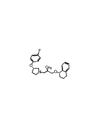 OC(CO[C@@H]1CCCc2ccccc21)CN1CC[C@@H](Oc2ccc(F)cc2)C1